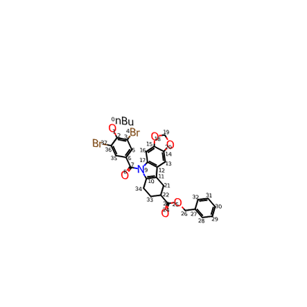 CCCCOc1c(Br)cc(C(=O)n2c3c(c4cc5c(cc42)OCO5)CC(C(=O)OCc2ccccc2)CC3)cc1Br